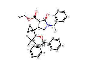 CCOC(=O)C1C(=O)N([C@@H](C)c2ccccc2)C[C@H]1C1(C(O[SiH](c2ccccc2)c2ccccc2)C(C)(C)C)CC1